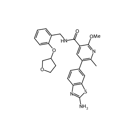 COc1nc(C)c(-c2ccc3nc(N)sc3c2)cc1C(=O)NCc1ccccc1OC1CCOC1